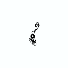 CP(=O)(O)OS(=O)(=O)c1ccc(OCCCN2CCOCC2)cc1